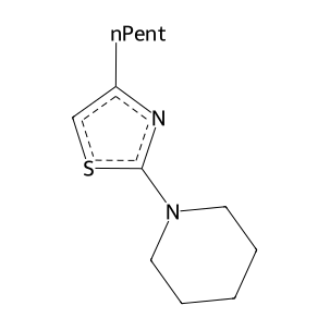 CCCCCc1csc(N2CCCCC2)n1